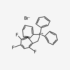 Fc1cc(F)c(C[P+](c2ccccc2)(c2ccccc2)c2ccccc2)cc1F.[Br-]